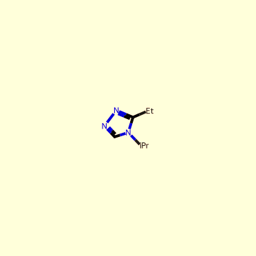 CCc1nncn1C(C)C